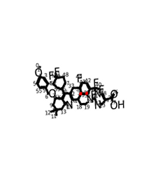 COc1ccc(CO[C@H]2CC(C)(C)Cc3nc(C4CCN(c5ncc(C(=O)O)cn5)CC4)c(Cc4ccc(C(F)(F)F)cc4F)c(C4CCC(F)(F)CC4)c32)cc1